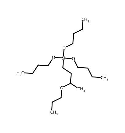 CCCCO[Si](CCC(C)OCCC)(OCCCC)OCCCC